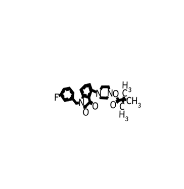 CC(C)(C)C(=O)ON1CCN(c2cccc3c2C(=O)C(=O)N3Cc2cccc(F)c2)CC1